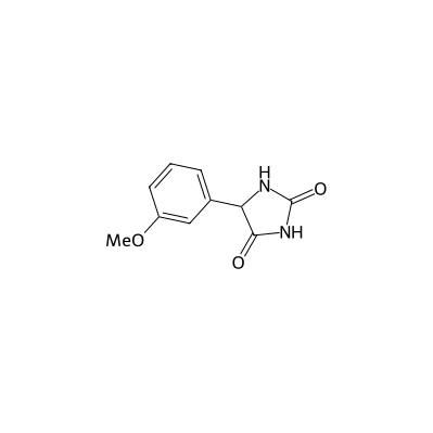 COc1cccc(C2NC(=O)NC2=O)c1